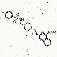 CNc1nc(NC[C@H]2CC[C@H](CNS(=O)(=O)c3ccc(F)cc3)CC2)nc2ccccc12